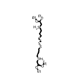 CCOC(C[SiH2]CCCSSSSCCC[SiH2]CC(OCC)OCC)OCC